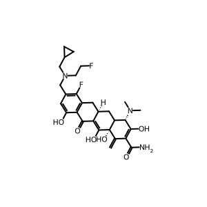 C=C1C(C(N)=O)=C(O)[C@@H](N(C)C)C2C[C@@H]3Cc4c(F)c(CN(CCF)CC5CC5)cc(O)c4C(=O)C3=C(O)[C@]12O